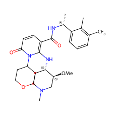 CO[C@H]1CN(C)CC[C@@H]1Nc1c(C(=O)N[C@H](C)c2cccc(C(F)(F)F)c2C)ccc(=O)n1C1CCOCC1